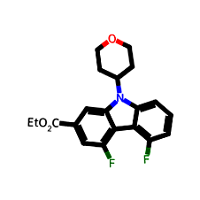 CCOC(=O)c1cc(F)c2c3c(F)cccc3n(C3CCOCC3)c2c1